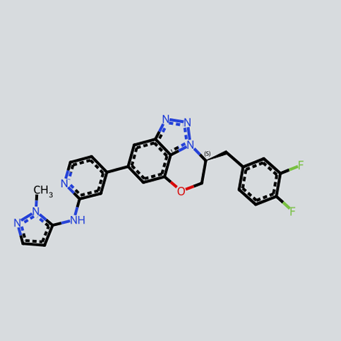 Cn1nccc1Nc1cc(-c2cc3c4c(c2)nnn4[C@@H](Cc2ccc(F)c(F)c2)CO3)ccn1